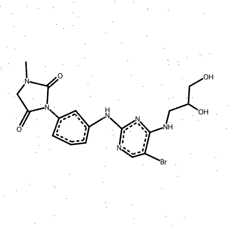 CN1CC(=O)N(c2cccc(Nc3ncc(Br)c(NCC(O)CO)n3)c2)C1=O